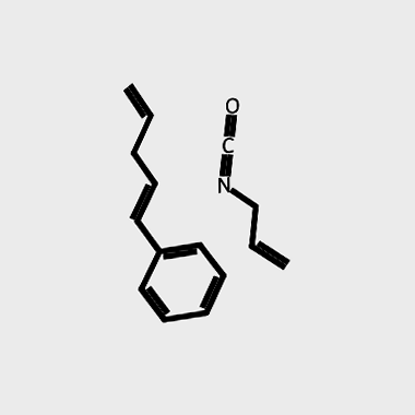 C=CCC=Cc1ccccc1.C=CCN=C=O